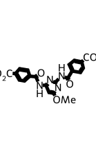 COc1cc(NC(=O)c2ccc(C(=O)O)cc2)nc(NC(=O)c2ccc(C(=O)O)cc2)n1